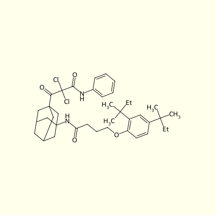 CCC(C)(C)c1ccc(OCCCC(=O)NC23CC4CC(C2)CC(C(=O)C(Cl)(Cl)C(=O)Nc2ccccc2)(C4)C3)c(C(C)(C)CC)c1